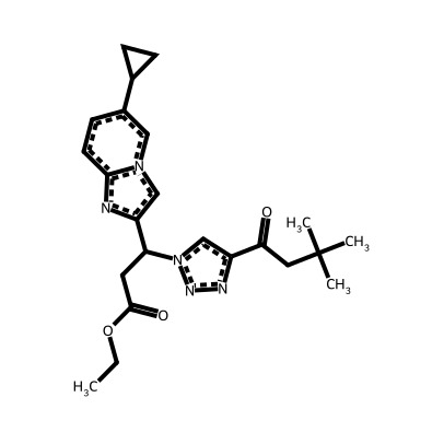 CCOC(=O)CC(c1cn2cc(C3CC3)ccc2n1)n1cc(C(=O)CC(C)(C)C)nn1